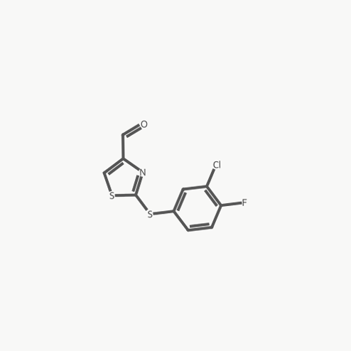 O=Cc1csc(Sc2ccc(F)c(Cl)c2)n1